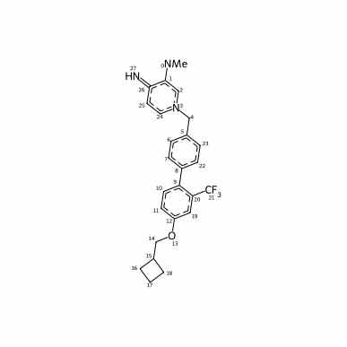 CNc1cn(Cc2ccc(-c3ccc(OCC4CCC4)cc3C(F)(F)F)cc2)ccc1=N